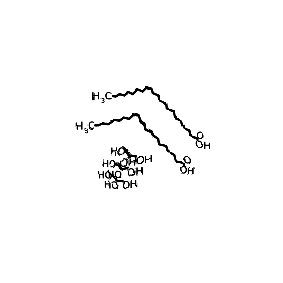 CCCCCCCC/C=C\CCCCCCCCCCCC(=O)O.CCCCCCCC/C=C\CCCCCCCCCCCC(=O)O.OCC(O)CO.OCC(O)CO.OCC(O)CO